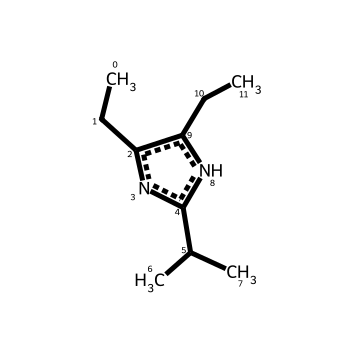 CCc1nc(C(C)C)[nH]c1CC